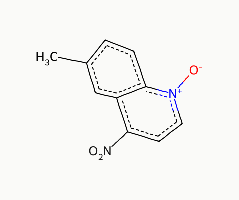 Cc1ccc2c(c1)c([N+](=O)[O-])cc[n+]2[O-]